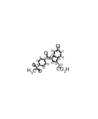 CS(=O)(=O)c1ccc(C(=O)n2cc(CC(=O)O)c3ccc(Cl)cc32)cc1